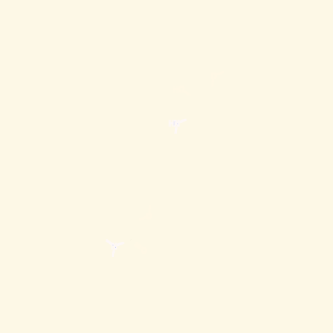 CCCN(CCC)C(=O)COc1ccc(CCNCC(O)COc2ccccc2)cc1.Cl